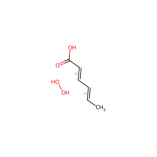 C/C=C/C=C/C(=O)O.OO